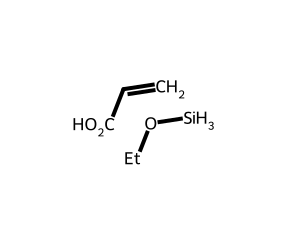 C=CC(=O)O.CCO[SiH3]